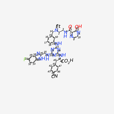 CCN(CCNC(=O)c1nccnc1O)Cc1cccc(Nc2nc(NCc3nc4cc(F)ccc4[nH]3)nc(N[C@@H](Cc3ccc(C#N)cc3)C(=O)O)n2)c1